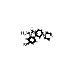 NOC(=O)[C@@H]1CC[C@@H](N2CCOCC2)C[C@H]1c1ccc(Br)cc1